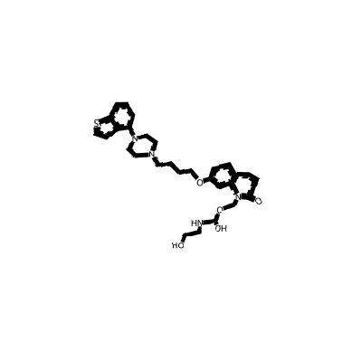 O=c1ccc2ccc(OCCCCN3CCN(c4cccc5sccc45)CC3)cc2n1COC(O)NCCO